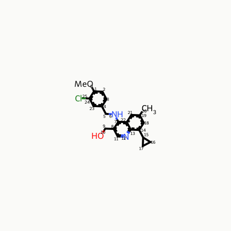 COc1ccc(CNc2c(CO)cnc3c(C4CC4)cc(C)cc23)cc1Cl